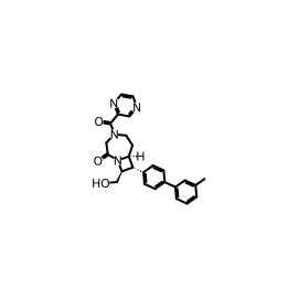 Cc1cccc(-c2ccc([C@@H]3[C@@H](CO)N4C(=O)CN(C(=O)c5cnccn5)CC[C@@H]34)cc2)c1